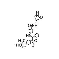 Cc1cc2c(cc1C(=O)O)NC(=O)C2=C(Nc1ccc(C(=O)NCCN2CCCNC(=O)C2)cc1)c1ccccc1